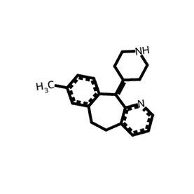 Cc1ccc2c(c1)CCc1cccnc1C2=C1CCNCC1